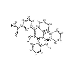 CSc1nc(NC(C)c2ccccc2)c2c(-c3ccccc3)cccc2c1-c1cncc(C(=O)O)c1